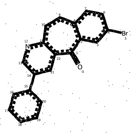 O=c1c2cc(Br)ccc2ccc2ncc(-c3ccccc3)cc12